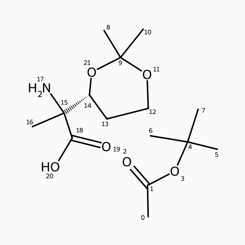 CC(=O)OC(C)(C)C.CC1(C)OCC[C@H](C(C)(N)C(=O)O)O1